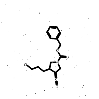 O=C=C1CN(C(=O)OCc2ccccc2)CC1CCCCl